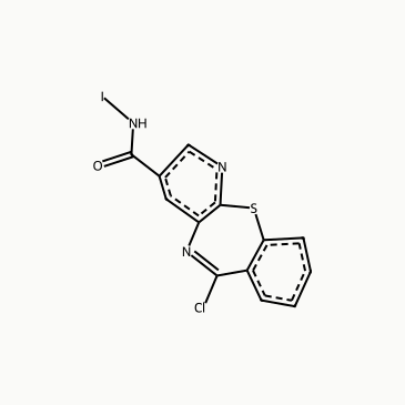 O=C(NI)c1cnc2c(c1)N=C(Cl)c1ccccc1S2